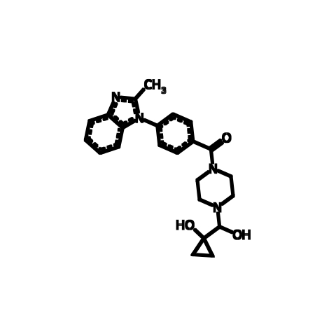 Cc1nc2ccccc2n1-c1ccc(C(=O)N2CCN(C(O)C3(O)CC3)CC2)cc1